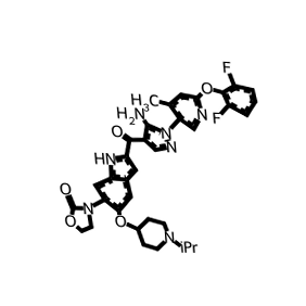 Cc1cc(Oc2c(F)cccc2F)ncc1-n1ncc(C(=O)c2cc3cc(OC4CCN(C(C)C)CC4)c(N4CCOC4=O)cc3[nH]2)c1N